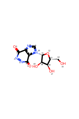 O=C1N=NC(=O)c2c1ncn2[C@@H]1O[C@H](CO)[C@@H](O)[C@H]1O